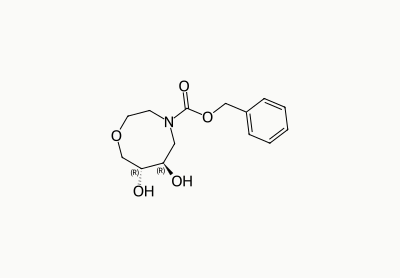 O=C(OCc1ccccc1)N1CCOC[C@@H](O)[C@H](O)C1